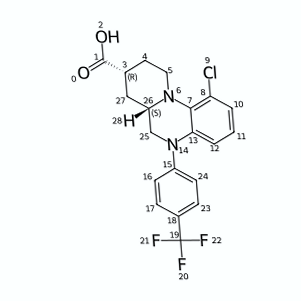 O=C(O)[C@@H]1CCN2c3c(Cl)cccc3N(c3ccc(C(F)(F)F)cc3)C[C@@H]2C1